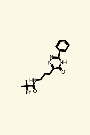 CCC(C)(C)C(=O)NCCCc1nnc(-c2ccccc2)[nH]c1=O